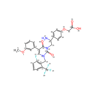 COc1cccc(-c2cn(Cc3c(F)cccc3C(F)(F)F)c(=O)n(CC(N)c3ccc(OCC(=O)O)cc3)c2=O)c1